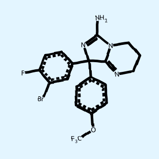 NC1=NC(c2ccc(OC(F)(F)F)cc2)(c2ccc(F)c(Br)c2)C2=NCCCN12